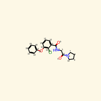 O=C(NCC(=O)N1CCCC1)c1cccc(Oc2ccccc2)c1Cl